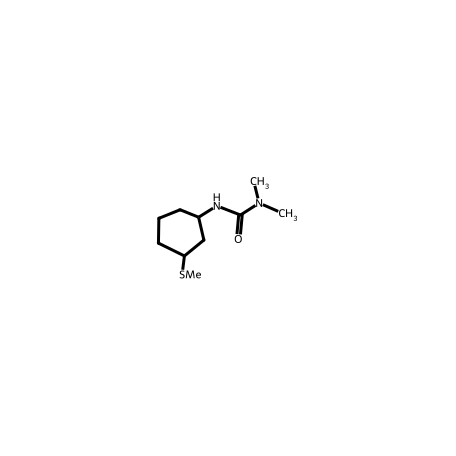 CSC1CCCC(NC(=O)N(C)C)C1